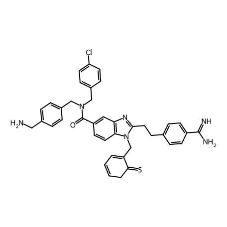 N=C(N)c1ccc(CCc2nc3cc(C(=O)N(Cc4ccc(Cl)cc4)Cc4ccc(CN)cc4)ccc3n2CC2=CC=CCC2=S)cc1